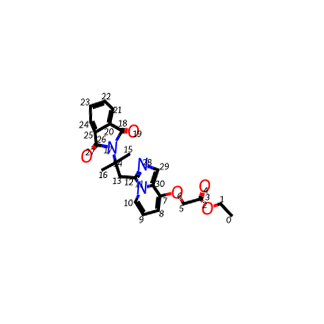 CCOC(=O)COc1cccn2c(CC(C)(C)N3C(=O)c4ccccc4C3=O)ncc12